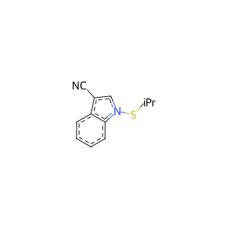 CC(C)Sn1cc(C#N)c2ccccc21